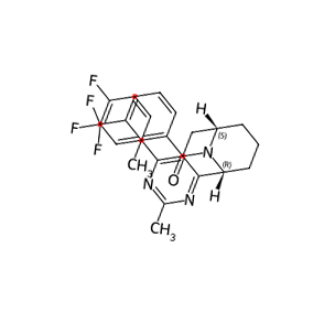 Cc1nc(-c2ccc(F)cc2)c2c(n1)[C@H]1CCC[C@@H](C2)N1C(=O)c1cccc(C(F)(F)F)c1C